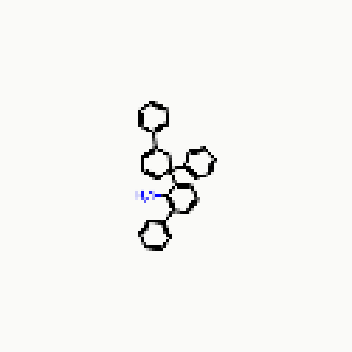 Nc1c(-c2ccccc2)cccc1C1(c2ccccc2)C=CC=C(c2ccccc2)C1